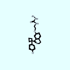 CC(C)NC(=O)NCCOc1ccc2c(c1)C(C1(c3ccc(Cl)cc3)CCC1)=NCC2